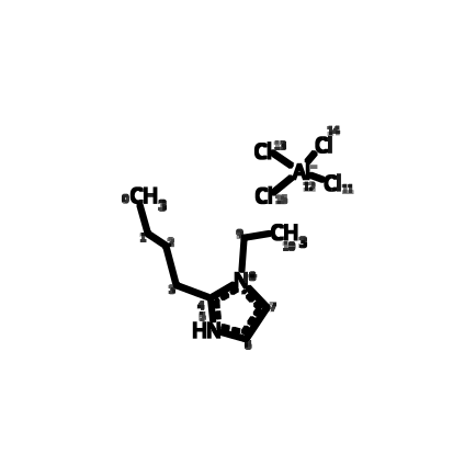 CCCCc1[nH]cc[n+]1CC.[Cl][Al-]([Cl])([Cl])[Cl]